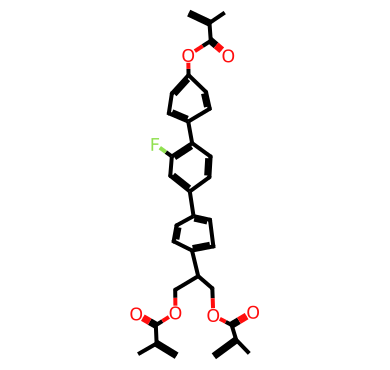 C=C(C)C(=O)OCC(COC(=O)C(=C)C)c1ccc(-c2ccc(-c3ccc(OC(=O)C(=C)C)cc3)c(F)c2)cc1